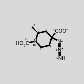 C[C@H]1C[C@@](N=[N+]=N)(C(=O)[O-])CCN1C(=O)O